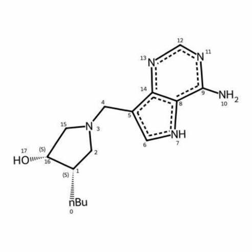 CCCC[C@H]1CN(Cc2c[nH]c3c(N)ncnc23)C[C@H]1O